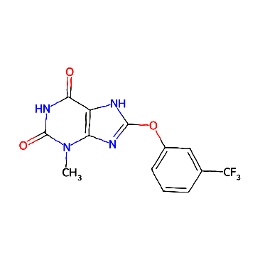 Cn1c(=O)[nH]c(=O)c2[nH]c(Oc3cccc(C(F)(F)F)c3)nc21